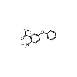 NC(=O)c1cc(Oc2ccccc2)ccc1N